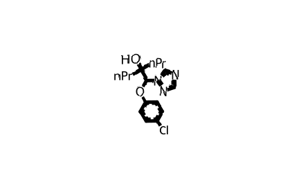 CCCC(O)(CCC)C(Oc1ccc(Cl)cc1)n1cncn1